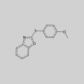 COc1ccc(Sc2nc3ccccc3o2)cc1